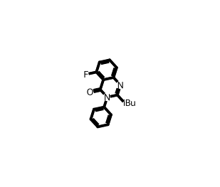 CCC(C)c1nc2cccc(F)c2c(=O)n1-c1ccccc1